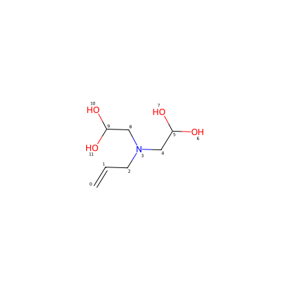 C=CCN(CC(O)O)CC(O)O